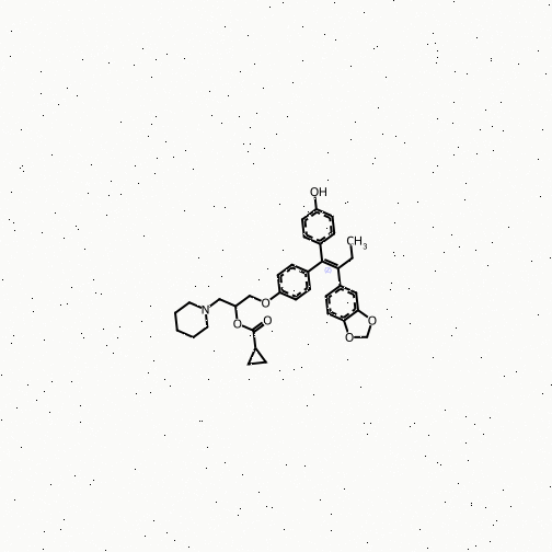 CC/C(=C(\c1ccc(O)cc1)c1ccc(OCC(CN2CCCCC2)OC(=O)C2CC2)cc1)c1ccc2c(c1)OCO2